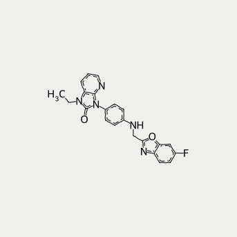 CCn1c(=O)n(-c2ccc(NCc3nc4ccc(F)cc4o3)cc2)c2ncccc21